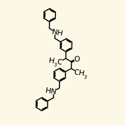 CC(C(=O)C(C)c1cccc(CNCc2ccccc2)c1)c1cccc(CNCc2ccccc2)c1